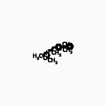 C/C(=C\N1CC(C)OC(C)C1)Cc1ccc(C(C)(C)c2ccccc2)cc1